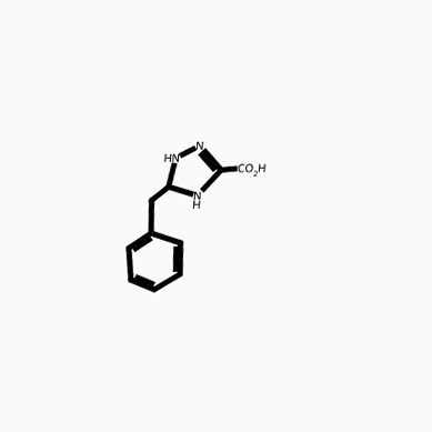 O=C(O)C1=NNC(Cc2ccccc2)N1